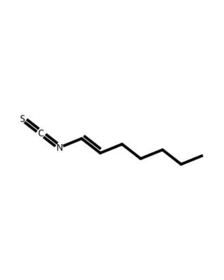 CCCCCC=CN=C=S